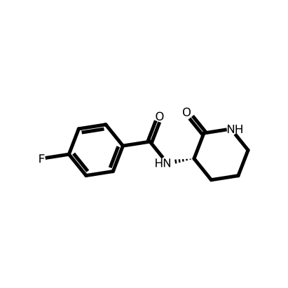 O=C(N[C@H]1CCCNC1=O)c1ccc(F)cc1